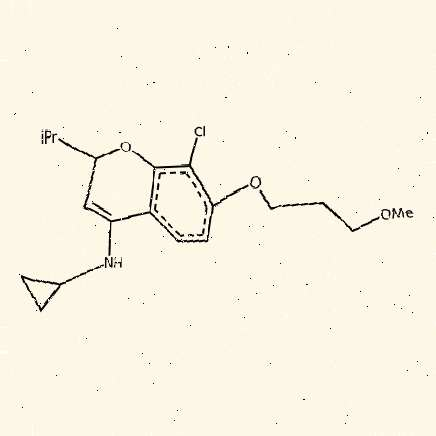 COCCCOc1ccc2c(c1Cl)OC(C(C)C)C=C2NC1CC1